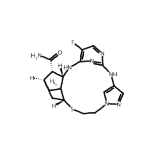 NC(=O)[C@H]1[C@H]2C[C@H]3[C@H]1Nc1nc(ncc1F)Nc1cnn(c1)CCS[C@@H]3C2